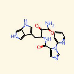 NC(=O)C(=O)C(Cc1c[nH]c2c[nH]cc12)NC(=O)c1cncn1-c1ccccn1